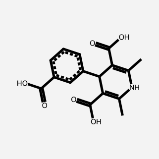 CC1=C(C(=O)O)C(c2cccc(C(=O)O)c2)C(C(=O)O)=C(C)N1